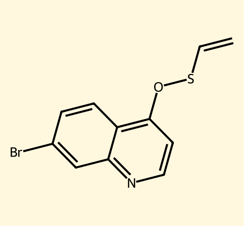 C=CSOc1ccnc2cc(Br)ccc12